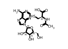 CC(=O)N[C@@H](CS)C(=O)O.Nc1ncnc2c1ncn2[C@@H]1O[C@H](CO)[C@@H](O)[C@H]1O